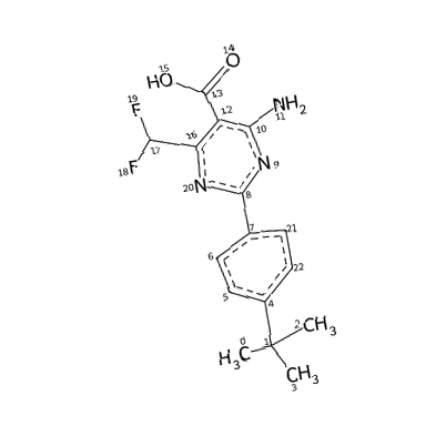 CC(C)(C)c1ccc(-c2nc(N)c(C(=O)O)c(C(F)F)n2)cc1